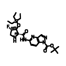 CC[Si](CC)(CC)O[C@@H]1[C@@H](F)CN[C@H]1C(=O)Nc1ccc2c(cnn2C(=O)OC(C)(C)C)n1